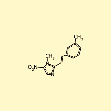 Cc1cccc(/C=C/c2ncc([N+](=O)[O-])n2C)c1